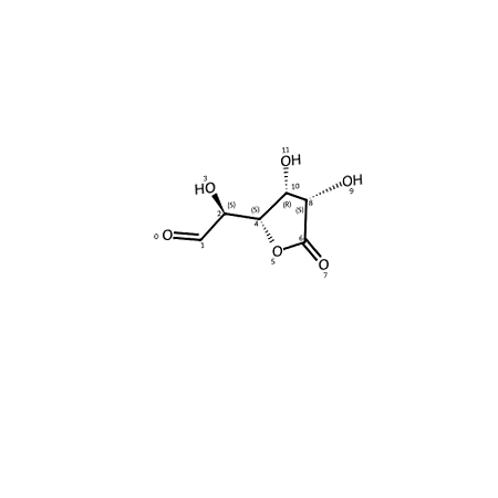 O=C[C@@H](O)[C@H]1OC(=O)[C@@H](O)[C@H]1O